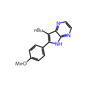 CCCCc1c(-c2ccc(OC)cc2)[nH]c2nccnc12